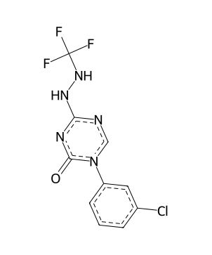 O=c1nc(NNC(F)(F)F)ncn1-c1cccc(Cl)c1